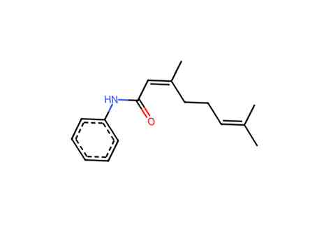 CC(C)=CCCC(C)=CC(=O)Nc1ccccc1